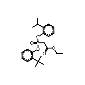 CCOC(=O)CP(=O)(Oc1ccccc1C(C)C)Oc1ccccc1C(C)(C)C